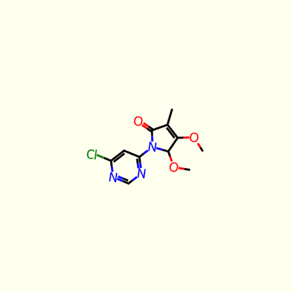 COC1=C(C)C(=O)N(c2cc(Cl)ncn2)C1OC